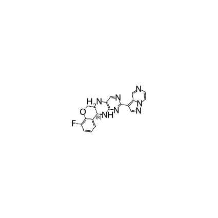 Nc1cnc(-c2cnn3ccncc23)nc1N[C@@H]1CCOc2c(F)cccc21